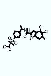 COC(=O)C(C)(C)S(=O)(=O)c1ccc(C(C)NC(=O)c2cc3c(Cl)c(Cl)c(C)cc3n2C)cc1